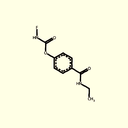 CCNC(=O)c1ccc(OC(=O)NF)cc1